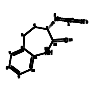 [N-]=[N+]=N[C@H]1CCc2ccccc2NC1=O